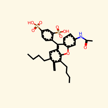 C=c1c(CCCC)cc2c(c1CCCC)Oc1cc(NC(C)=O)ccc1C=2c1ccc(S(=O)(=O)O)cc1S(=O)(=O)O